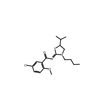 CCCCN1CC(C(C)C)S/C1=N\C(=O)c1cc(Cl)ccc1OC